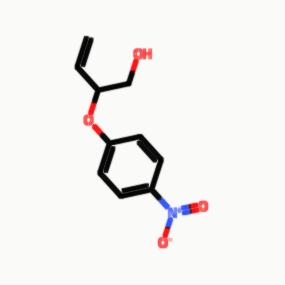 C=CC(CO)Oc1ccc([N+](=O)[O-])cc1